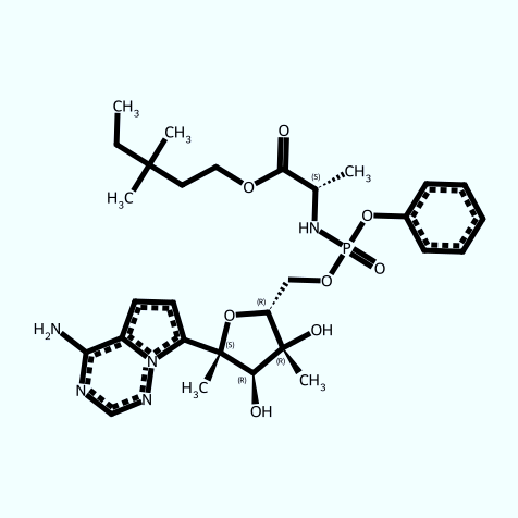 CCC(C)(C)CCOC(=O)[C@H](C)NP(=O)(OC[C@H]1O[C@@](C)(c2ccc3c(N)ncnn23)[C@H](O)[C@@]1(C)O)Oc1ccccc1